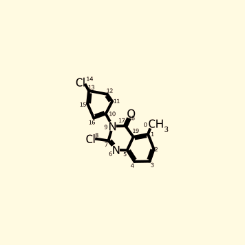 Cc1cccc2nc(Cl)n(-c3ccc(Cl)cc3)c(=O)c12